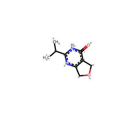 CC(C)c1nc2c(c(=O)[nH]1)COC2